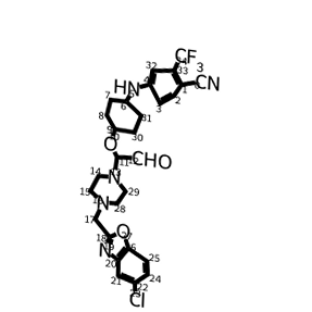 N#Cc1ccc(NC2CCC(OC(C=O)N3CCN(Cc4nc5cc(Cl)ccc5o4)CC3)CC2)cc1C(F)(F)F